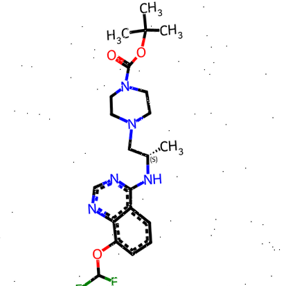 C[C@@H](CN1CCN(C(=O)OC(C)(C)C)CC1)Nc1ncnc2c(OC(F)F)cccc12